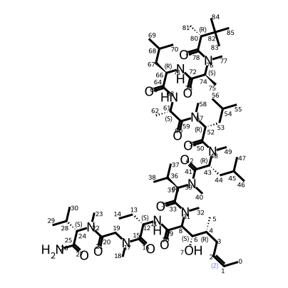 C/C=C\C[C@@H](C)[C@H](O)C(C(=O)N[C@@H](CC)C(=O)N(C)CC(=O)N(C)[C@H](C(N)=O)C(C)C)N(C)C(=O)[C@@H](C(C)C)N(C)C(=O)[C@@H](CC(C)C)N(C)C(=O)[C@@H](CC(C)C)N(C)C(=O)[C@H](C)NC(=O)[C@@H](CC(C)C)NC(=O)[C@H](C)N(C)C(=O)[C@H](C)C(C)(C)C